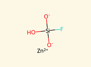 [O-][Si]([O-])(O)F.[Zn+2]